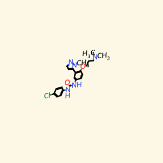 CN(C)CCCOc1ccc(NC(=O)Nc2ccc(Cl)cc2)cc1-c1ccnn1C